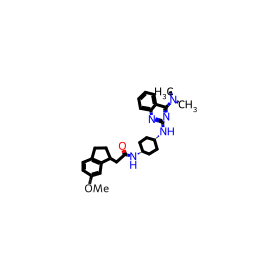 COc1ccc2c(c1)C(CC(=O)N[C@H]1CC[C@@H](Nc3nc(N(C)C)c4ccccc4n3)CC1)CC2